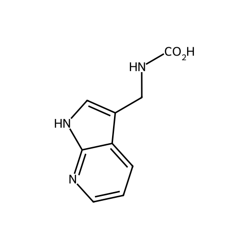 O=C(O)NCc1c[nH]c2ncccc12